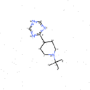 CC(C)(C)N1CCC(c2ncncn2)CC1